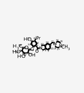 CC(C)c1cc(C(=O)N2Cc3ccc(CN4CCN(C)CC4)cc3C2)c(O[C@@H]2O[C@@H](C)[C@@H](O)[C@@H](O)[C@@H]2O)cc1O